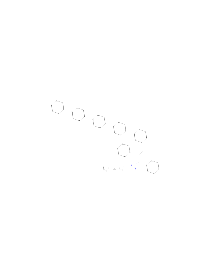 CNC(/N=C(\C=C\c1ccccc1)c1ccccc1)c1ccc(-c2cccc(-c3ccc(-c4ccc(-c5ccccc5)cc4)cc3)c2)cc1